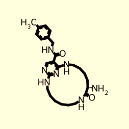 Cc1ccc(CNC(=O)c2cnc3nc2NCCCC[C@H](N)C(=O)NCCCCCCN3)cc1